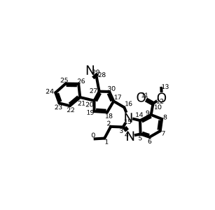 CCCc1nc2cccc(C(=O)OC)c2n1Cc1ccc(-c2ccccc2)c(C#N)c1